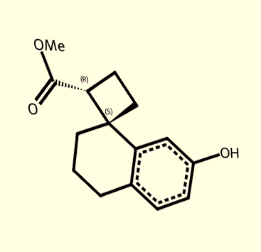 COC(=O)[C@@H]1CC[C@@]12CCCc1ccc(O)cc12